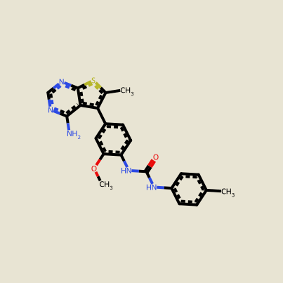 COc1cc(-c2c(C)sc3ncnc(N)c23)ccc1NC(=O)Nc1ccc(C)cc1